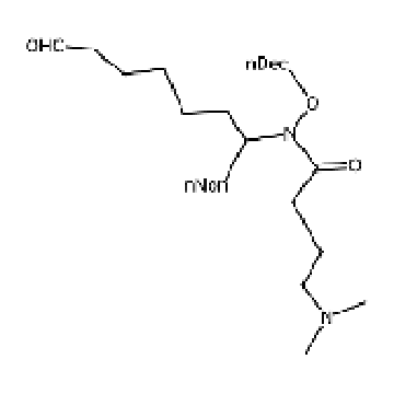 CCCCCCCCCCON(C(=O)CCCN(C)C)C(CCCCCC=O)CCCCCCCCC